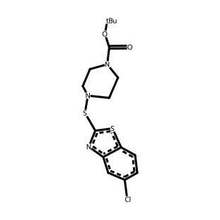 CC(C)(C)OC(=O)N1CCN(Sc2nc3cc(Cl)ccc3s2)CC1